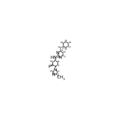 Cc1cn(-c2ccc(Nc3nccc(Cc4ccccc4)n3)cc2F)cn1